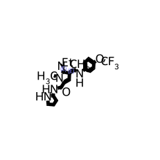 CC/N=C1\C(=C(/C)Nc2ccc(OC(F)(F)F)cc2)C=C(C(=O)NC2CCCN2)N1C